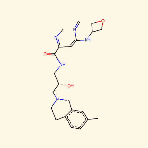 C=N/C(=C\C(=N/C)C(=O)NC[C@H](O)CN1CCc2ccc(C)cc2C1)NC1COC1